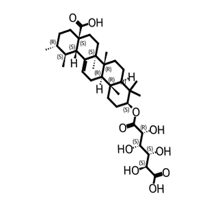 C[C@H]1[C@H](C)CC[C@]2(C(=O)O)CC[C@]3(C)C(=CC[C@@H]4[C@@]5(C)CC[C@H](OC(=O)[C@H](O)[C@@H](O)[C@H](O)[C@H](O)C(=O)O)C(C)(C)[C@@H]5CC[C@]43C)[C@H]12